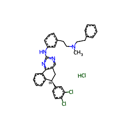 CN(CCc1ccccc1)CCc1cccc(Nc2ncc3c(n2)-c2ccccc2[C@H](c2ccc(Cl)c(Cl)c2)C3)c1.Cl